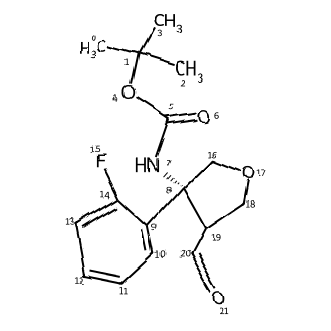 CC(C)(C)OC(=O)N[C@]1(c2ccccc2F)COCC1C=O